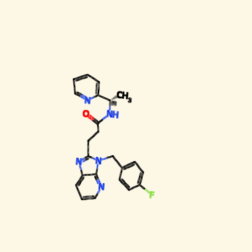 C[C@H](NC(=O)CCc1nc2cccnc2n1Cc1ccc(F)cc1)c1ccccn1